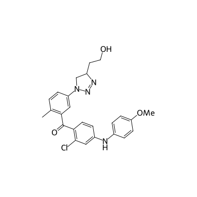 COc1ccc(Nc2ccc(C(=O)c3cc(N4CC(CCO)N=N4)ccc3C)c(Cl)c2)cc1